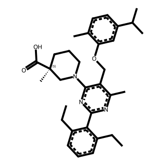 CCc1cccc(CC)c1-c1nc(C)c(COc2cc(C(C)C)ccc2C)c(N2CCC[C@](C)(C(=O)O)C2)n1